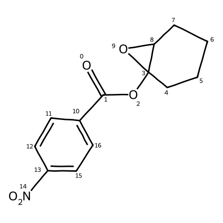 O=C(OC12CCCCC1O2)c1ccc([N+](=O)[O-])cc1